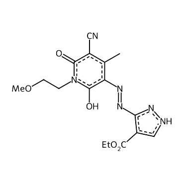 CCOC(=O)c1c[nH]nc1N=Nc1c(C)c(C#N)c(=O)n(CCOC)c1O